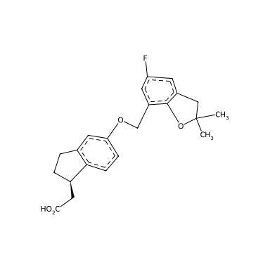 CC1(C)Cc2cc(F)cc(COc3ccc4c(c3)CC[C@@H]4CC(=O)O)c2O1